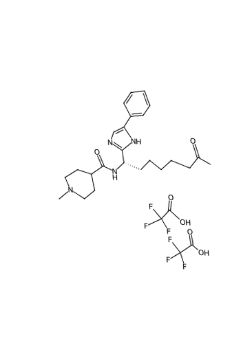 CC(=O)CCCCC[C@H](NC(=O)C1CCN(C)CC1)c1ncc(-c2ccccc2)[nH]1.O=C(O)C(F)(F)F.O=C(O)C(F)(F)F